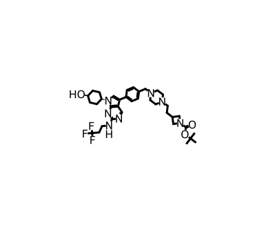 CC(C)(C)OC(=O)N1CC(CCN2CCN(Cc3ccc(-c4cn([C@H]5CC[C@H](O)CC5)c5nc(NCCC(F)(F)F)ncc45)cc3)CC2)C1